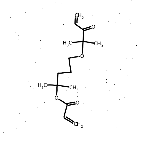 C=CC(=O)OC(C)(C)CCCOC(C)(C)C(=O)C=C